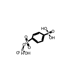 O=[PH](O)OS(=O)(=O)c1ccc(P(=O)(O)O)cc1